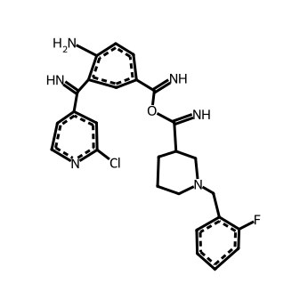 N=C(OC(=N)C1CCCN(Cc2ccccc2F)C1)c1ccc(N)c(C(=N)c2ccnc(Cl)c2)c1